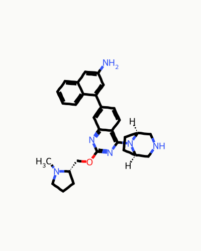 CN1CCC[C@H]1COc1nc(N2[C@@H]3CC[C@H]2CNC3)c2ccc(-c3cc(N)cc4ccccc34)cc2n1